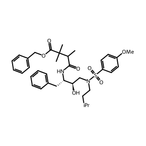 COc1ccc(S(=O)(=O)N(CCC(C)C)C[C@@H](O)[C@H](Cc2ccccc2)NC(=O)C(C)C(C)(C)C(=O)OCc2ccccc2)cc1